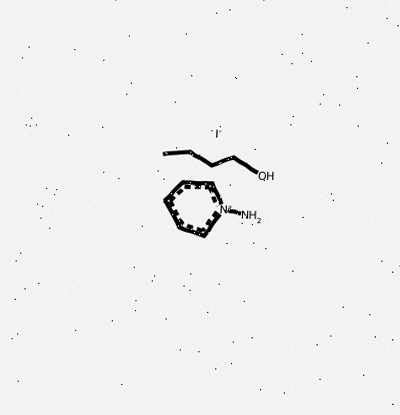 CCCCO.N[n+]1ccccc1.[I-]